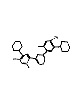 Cc1cc(O)c(C2CCCCC2)cc1C1=CCCC(c2cc(C3CCCCC3)c(O)cc2C)C1